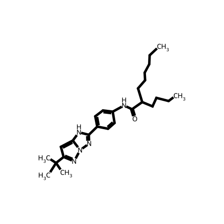 CCCCCCC(CCCC)C(=O)Nc1ccc(-c2nn3nc(C(C)(C)C)cc3[nH]2)cc1